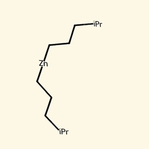 CC(C)CC[CH2][Zn][CH2]CCC(C)C